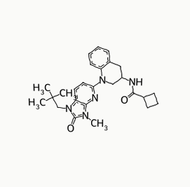 Cn1c(=O)n(CC(C)(C)C)c2ccc(N3CC(NC(=O)C4CCC4)Cc4ccccc43)nc21